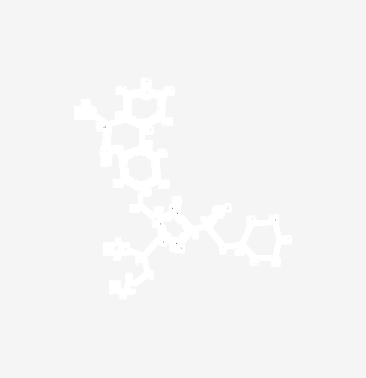 CCC(C)c1nc(C(=O)CC2CCCCC2)nn1Cc1ccc(-c2ccccc2C(=O)O)cc1